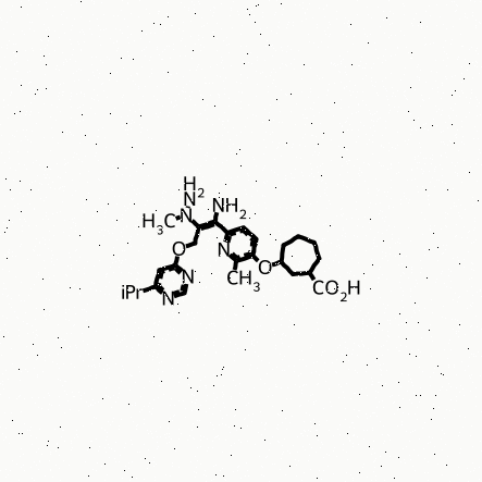 Cc1nc(/C(N)=C(\COc2cc(C(C)C)ncn2)N(C)N)ccc1OC1CCCCC(C(=O)O)C1